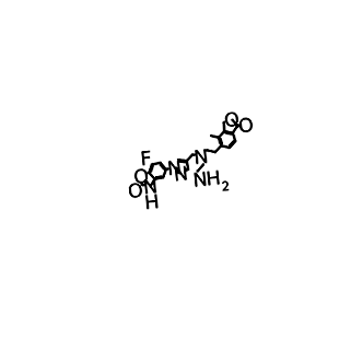 Cc1c(CCN(CCN)Cc2cnn(-c3cc(F)c4oc(=O)[nH]c4c3)c2)ccc2c1COC2=O